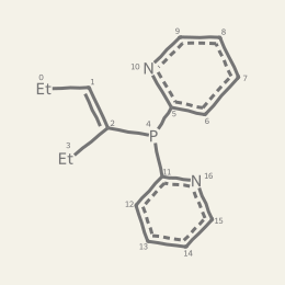 CCC=C(CC)P(c1ccccn1)c1ccccn1